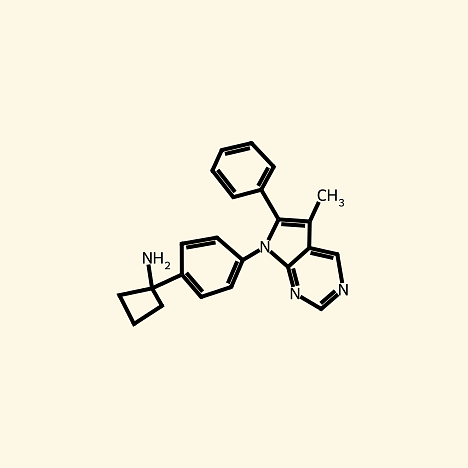 Cc1c(-c2ccccc2)n(-c2ccc(C3(N)CCC3)cc2)c2ncncc12